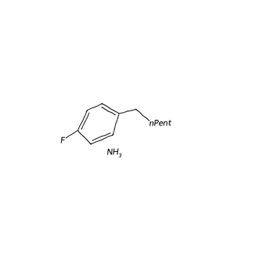 CCCCCCc1ccc(F)cc1.N